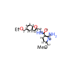 CCOCc1ccc2oc(CNC(=O)c3ccc(COC)nc3N)cc2c1